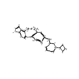 Cc1cc(NC2CCCN(C3CCC3)C2)nnc1-c1ccc2sccc2c1O